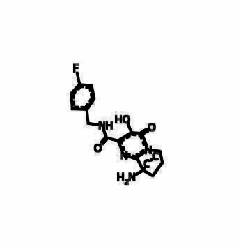 NC12CCC(CC1)n1c2nc(C(=O)NCc2ccc(F)cc2)c(O)c1=O